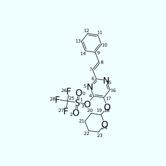 O=S(=O)(Oc1nc(C=Cc2ccccc2)ncc1OC1CCCCO1)C(F)(F)F